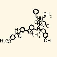 C=CCN1CC(=O)N2[C@@H](Cc3ccc(O)cc3)C(=O)N(Cc3cccc4c(-c5cccc(C(=O)Nc6ccc(OC)cc6)c5)cn(C)c34)C[C@@H]2N1C(=O)NCc1ccccc1